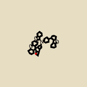 c1ccc2c(c1)Oc1ccccc1C21c2ccccc2-c2ccc(N(c3ccc(-c4cccc5oc6ccccc6c45)cc3)c3coc4ccccc34)cc21